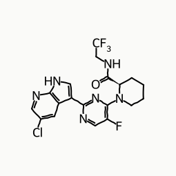 O=C(NCC(F)(F)F)[C@H]1CCCCN1c1nc(-c2c[nH]c3ncc(Cl)cc23)ncc1F